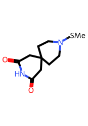 CSN1CCC2(CC1)CC(=O)NC(=O)C2